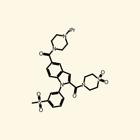 CC(C)N1CCN(C(=O)c2ccc3c(c2)cc(C(=O)N2CCS(=O)(=O)CC2)n3-c2cccc(S(C)(=O)=O)c2)CC1